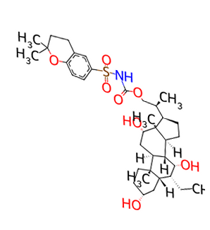 CC[C@H]1[C@@H](O)[C@@H]2[C@H](C[C@H](O)[C@]3(C)[C@@H]([C@H](C)COC(=O)NS(=O)(=O)c4ccc5c(c4)CCC(C)(C)O5)CC[C@@H]23)[C@@]2(C)CC[C@@H](O)C[C@@H]12